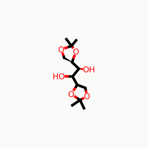 CC1(C)OCC(C(O)[C@H](O)[C@H]2COC(C)(C)O2)O1